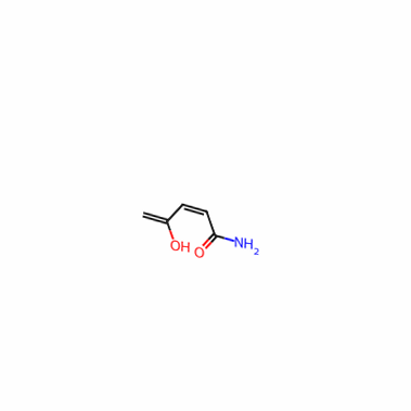 C=C(O)/C=C\C(N)=O